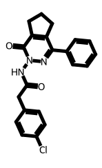 O=C(Cc1ccc(Cl)cc1)Nn1nc(-c2ccccc2)c2c(c1=O)CCC2